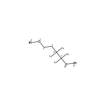 CC(C)OCCC(C)(C)C(C)(C)OC(C)C